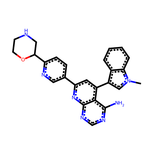 Cn1cc(-c2cc(-c3ccc(C4CNCCO4)nc3)nc3ncnc(N)c23)c2ccccc21